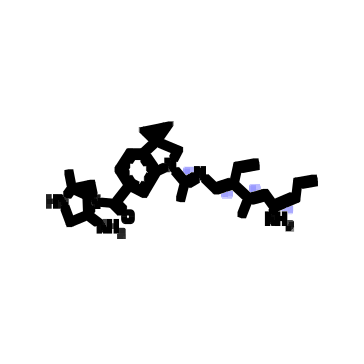 C=C\C=C(N)/C=C(C)/C(C=C)=C/N=C(\C)N1CC2(CC2)c2ccc(C(=O)N3CC4(C)CC3(N)CN4)cc21